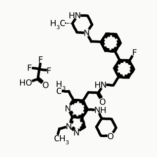 CCc1nc2c(cnn2CC)c(NC2CCOCC2)c1CC(=O)NCc1ccc(F)c(-c2cccc(CN3CCN[C@@H](C)C3)c2)c1.O=C(O)C(F)(F)F